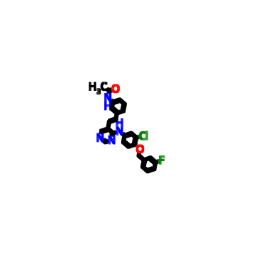 CC(=O)Nc1cccc(C=Cc2cncnc2Nc2ccc(OCc3cccc(F)c3)c(Cl)c2)c1